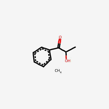 C.CC(O)C(=O)c1ccccc1